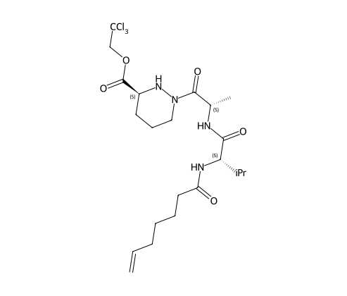 C=CCCCCC(=O)N[C@H](C(=O)N[C@@H](C)C(=O)N1CCC[C@@H](C(=O)OCC(Cl)(Cl)Cl)N1)C(C)C